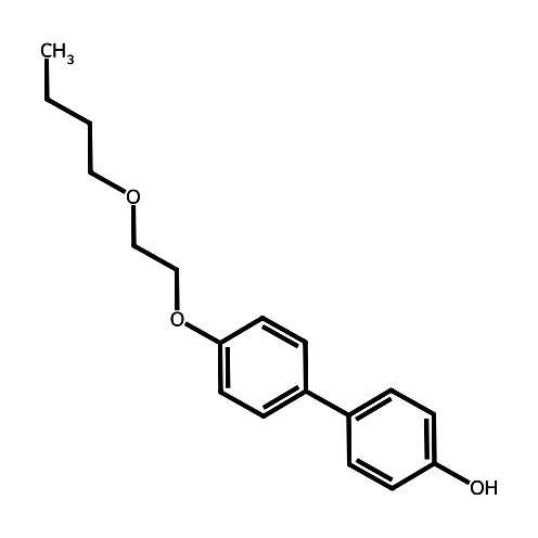 CCCCOCCOc1ccc(-c2ccc(O)cc2)cc1